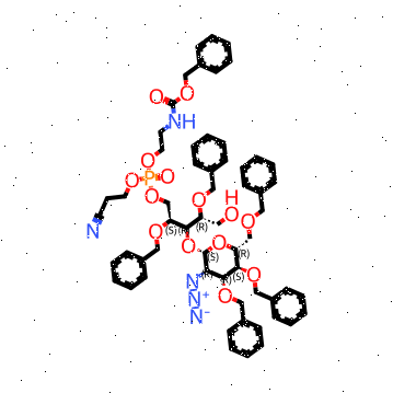 N#CCCOP(=O)(OCCNC(=O)OCc1ccccc1)OC[C@H](OCc1ccccc1)[C@H](O[C@@H]1O[C@H](COCc2ccccc2)[C@@H](OCc2ccccc2)[C@H](OCc2ccccc2)[C@H]1N=[N+]=[N-])[C@@H](CO)OCc1ccccc1